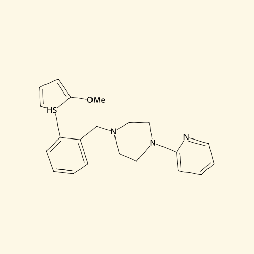 COC1=CC=C[SH]1c1ccccc1CN1CCN(c2ccccn2)CC1